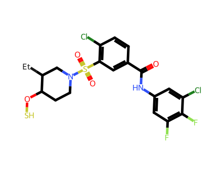 CCC1CN(S(=O)(=O)c2cc(C(=O)Nc3cc(F)c(F)c(Cl)c3)ccc2Cl)CCC1OS